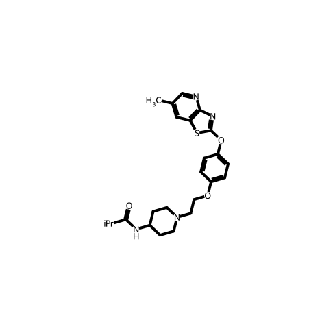 Cc1cnc2nc(Oc3ccc(OCCN4CCC(NC(=O)C(C)C)CC4)cc3)sc2c1